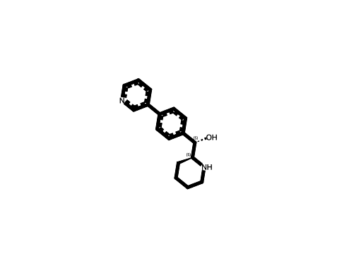 O[C@@H](c1ccc(-c2cccnc2)cc1)[C@@H]1CCCCN1